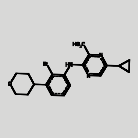 CCc1c(Nc2ncc(C3CC3)nc2C(=O)O)cccc1C1CCOCC1